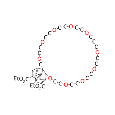 CCOC(=O)C1=CC2=CC(=C1)C21OCCOCCOCCOCCOCCCOCCOCCOCCOCCOCC12c1cc(C(=O)OCC)cc2c1